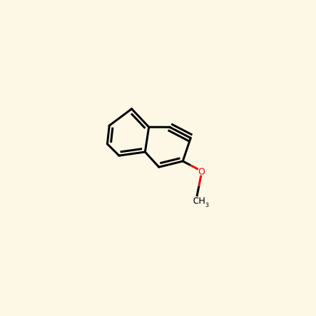 COc1c#cc2ccccc2c1